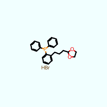 Br.c1ccc(P(c2ccccc2)c2ccccc2CCCC2OCCO2)cc1